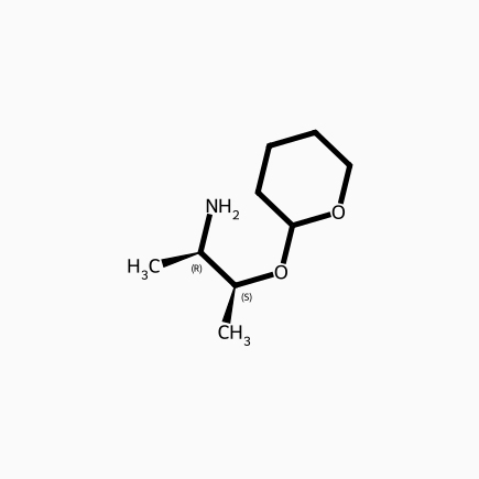 C[C@H](OC1CCCCO1)[C@@H](C)N